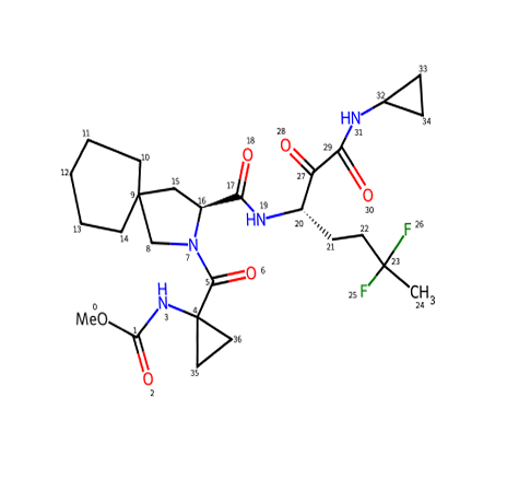 COC(=O)NC1(C(=O)N2CC3(CCCCC3)C[C@H]2C(=O)N[C@@H](CCC(C)(F)F)C(=O)C(=O)NC2CC2)CC1